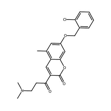 Cc1cc(OCc2ccccc2Cl)cc2oc(=O)c(C(=O)CCN(C)C)cc12